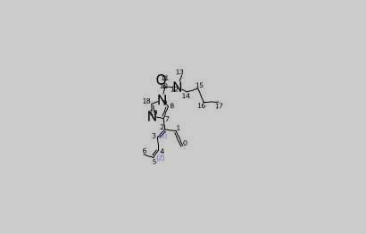 C=C/C(=C\C=C/C)c1cn(C(=O)N(C)CCCC)cn1